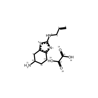 C=CCNc1nc2c(s1)CC(N)CC2.O=C(O)C(=O)O